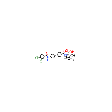 CC(C)[C@@H](C(=O)O)N(C)C(=O)c1ccc(-c2ccc(NC(=O)c3ccc(Cl)c(Cl)c3)cc2)cc1